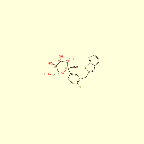 CO[C@@]1(c2ccc(F)c(Cc3cc4ccccc4s3)c2)O[C@H](CO)[C@@H](O)[C@H](O)[C@H]1O